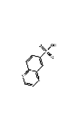 O=S(=O)(O)c1ccc2nccnc2c1